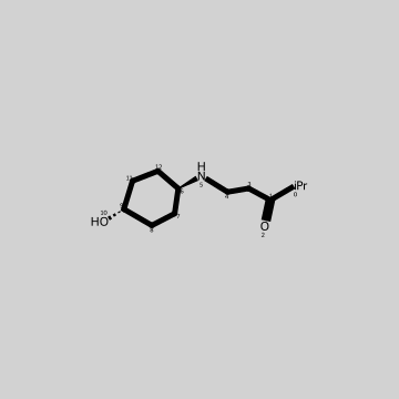 CC(C)C(=O)CCN[C@H]1CC[C@H](O)CC1